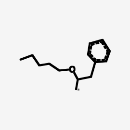 [CH2]C(Cc1ccccc1)OCCCCC